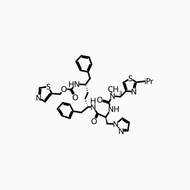 CC(C)c1nc(CN(C)C(=O)N[C@@H](Cn2cccn2)C(=O)N[C@@H](CC[C@@H](Cc2ccccc2)NC(=O)OCc2cncs2)Cc2ccccc2)cs1